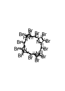 BrC1=C(Br)c2nc1c(Br)c1[nH]c(c(Br)c3nc(c(Br)c4[nH]c(c2Br)c(Br)c4Br)C(Br)=C3Br)c(Br)c1Br